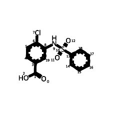 O=C(O)c1ccc(Cl)c(NS(=O)(=O)c2ccccc2)c1